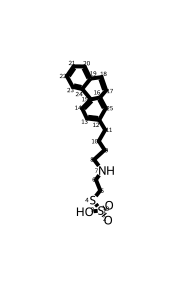 O=S(=O)(O)SCCNCCCCc1ccc2c(ccc3ccccc32)c1